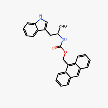 O=[C][C@H](Cc1c[nH]c2ccccc12)NC(=O)OCc1c2ccccc2cc2ccccc12